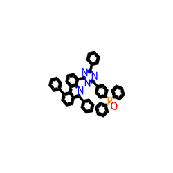 O=P(c1ccccc1)(c1ccccc1)c1ccc(-c2nc(-c3ccccc3)nc(-c3cccc4c3nc(-c3ccccc3)c3cccc(-c5ccccc5)c34)n2)cc1